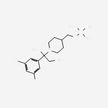 CC(CO)(c1cc(Cl)cc(Cl)c1)N1CCC(CO[Si](C)(C)C(C)(C)C)CC1